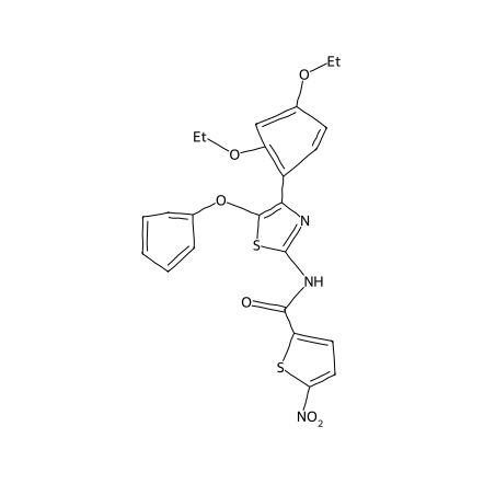 CCOc1ccc(-c2nc(NC(=O)c3ccc([N+](=O)[O-])s3)sc2Oc2ccccc2)c(OCC)c1